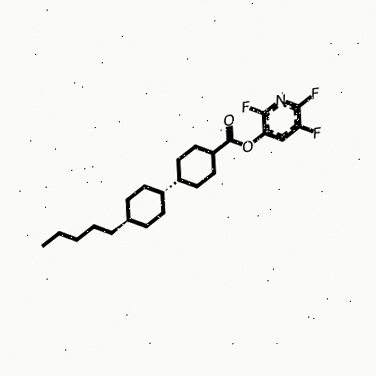 CCCCC[C@H]1CC[C@H](C2CCC(C(=O)Oc3cc(F)c(F)nc3F)CC2)CC1